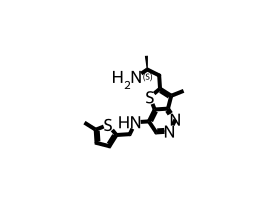 Cc1ccc(CNc2cnnc3c(C)c(C[C@H](C)N)sc23)s1